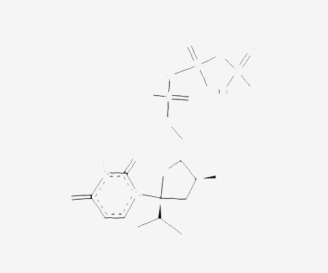 CC(C)[C@]1(n2ccc(=O)[nH]c2=O)C[C@H](O)[C@@H](COP(=O)(O)OP(=O)(O)OP(=O)(O)O)O1